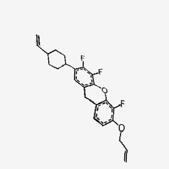 C=CCOc1ccc2c(c1F)Oc1c(cc(C3CCC(C=C)CC3)c(F)c1F)C2